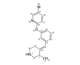 CC1CNCC/C1=C\c1cccc(Oc2ccc(Br)cn2)c1